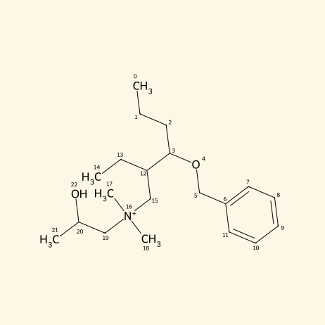 CCCC(OCc1ccccc1)C(CC)C[N+](C)(C)CC(C)O